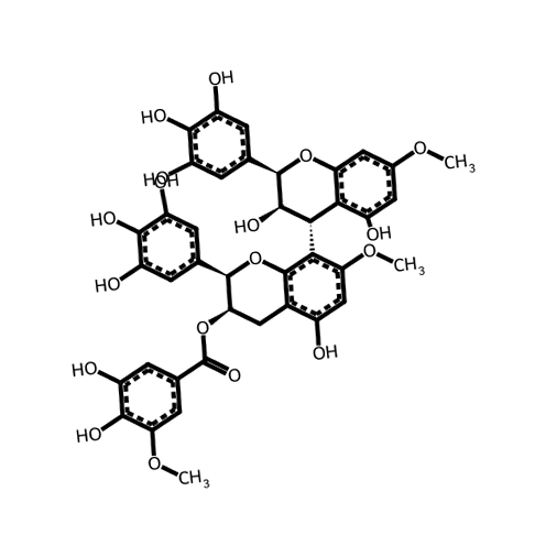 COc1cc(O)c2c(c1)O[C@H](c1cc(O)c(O)c(O)c1)[C@H](O)[C@H]2c1c(OC)cc(O)c2c1O[C@H](c1cc(O)c(O)c(O)c1)[C@H](OC(=O)c1cc(O)c(O)c(OC)c1)C2